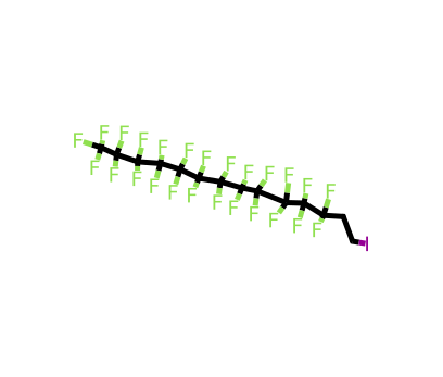 FC(F)(F)C(F)(F)C(F)(F)C(F)(F)C(F)(F)C(F)(F)C(F)(F)C(F)(F)C(F)(F)C(F)(F)C(F)(F)C(F)(F)CCI